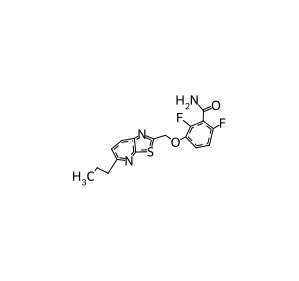 CCCc1ccc2nc(COc3ccc(F)c(C(N)=O)c3F)sc2n1